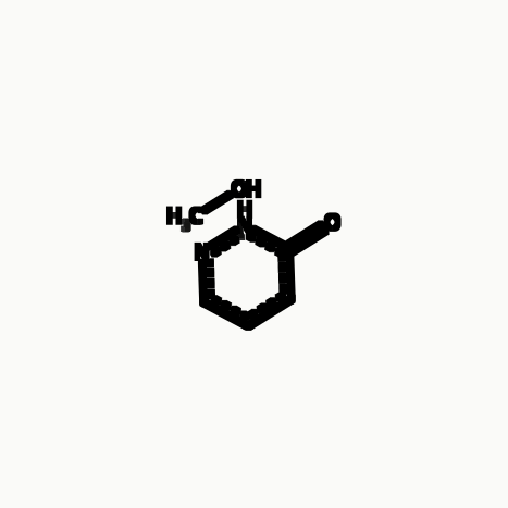 CO.O=c1cccn[nH]1